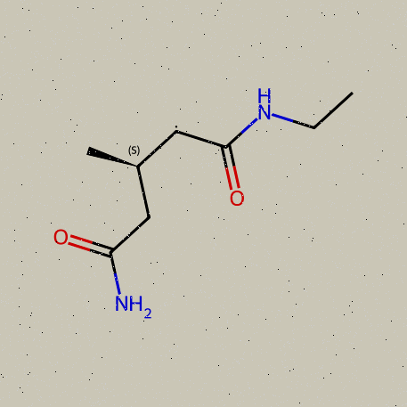 CCNC(=O)[CH][C@H](C)CC(N)=O